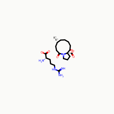 N=C(N)NCCC[C@H](N)C(=O)[O-].O=C1CCCCCCCC(=O)[C@@]2(C(=O)[O-])CCCN12.[K+].[K+]